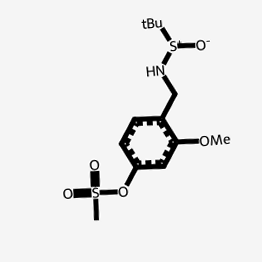 COc1cc(OS(C)(=O)=O)ccc1CN[S+]([O-])C(C)(C)C